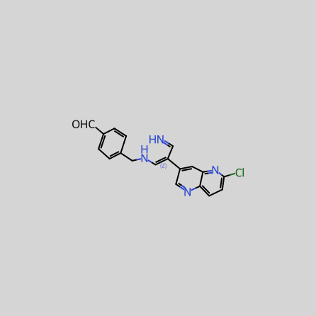 N=C/C(=C\NCc1ccc(C=O)cc1)c1cnc2ccc(Cl)nc2c1